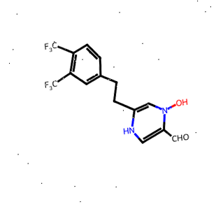 O=CC1=CNC(CCc2ccc(C(F)(F)F)c(C(F)(F)F)c2)=CN1O